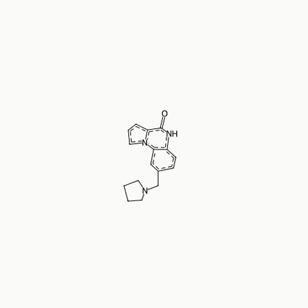 O=c1[nH]c2ccc(CN3CCCC3)cc2n2cccc12